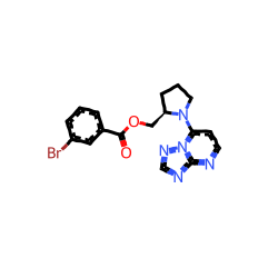 O=C(OC[C@H]1CCCN1c1ccnc2ncnn12)c1cccc(Br)c1